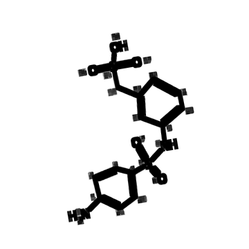 Nc1ccc(S(=O)(=O)Nc2cccc(CS(=O)(=O)O)c2)cc1